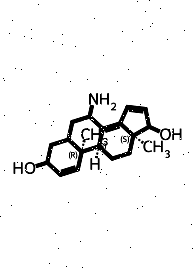 C[C@]12CC[C@@H]3C(=C1C=CC2O)C(N)CC1CC(O)C=C[C@@]13C